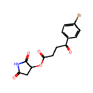 O=C1CC(OC(=O)CCC(=O)c2ccc(Br)cc2)C(=O)N1